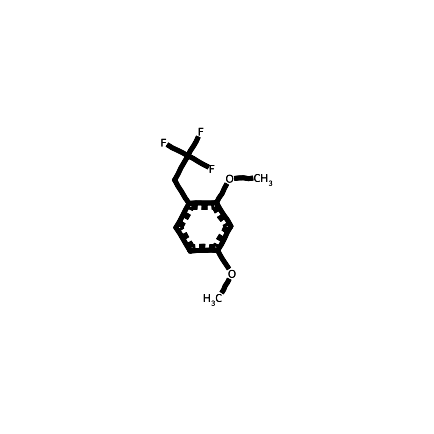 COc1ccc(CC(F)(F)F)c(OC)c1